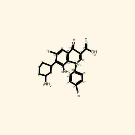 Nc1c(C2CCCC(N)C2)c(F)cc2c(=O)c(C(=O)O)cn(-c3ccc(F)cc3)c12